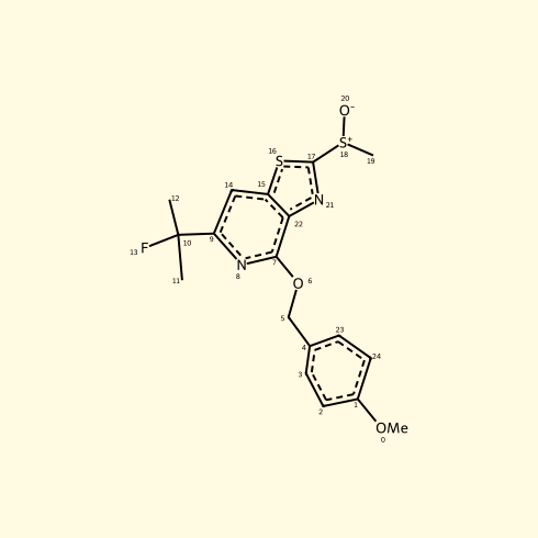 COc1ccc(COc2nc(C(C)(C)F)cc3sc([S+](C)[O-])nc23)cc1